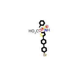 Cc1ccccc1S(=O)(=O)Nc1cc(-c2ccc(-c3ccc(Br)cc3)cc2)sc1OC(=O)O